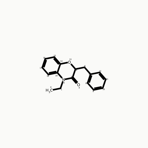 CCN1C(=O)C(Cc2ccccc2)Oc2ccccc21